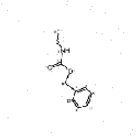 CCSNC(=O)OCc1ccccc1